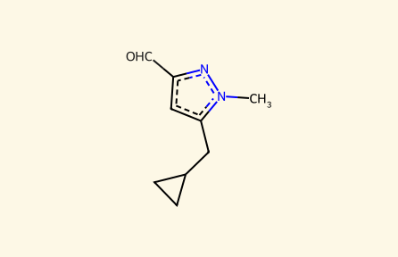 Cn1nc(C=O)cc1CC1CC1